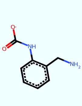 NCc1ccccc1NC([O])=O